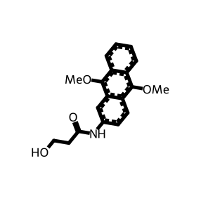 COc1c2ccccc2c(OC)c2cc(NC(=O)CCO)ccc12